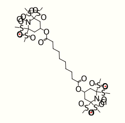 CS(=O)(=O)C1(S(C)(=O)=O)CC(OC(=O)CCCCCCCCC(=O)OC2CC(S(C)(=O)=O)(S(C)(=O)=O)N(Cl)C(S(C)(=O)=O)(S(C)(=O)=O)C2)CC(S(C)(=O)=O)(S(C)(=O)=O)N1Cl